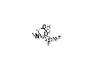 C/C(=C\c1cc(F)cc(N2CC(F)C2)c1)[C@H]1OC(=O)C[C@H](O)CC[C@H](C)[C@@H](C2CN(C)CCN2C(=O)O)/C=C/[C@@H]1C